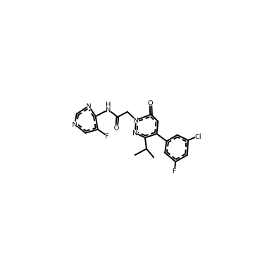 CC(C)c1nn(CC(=O)Nc2ncncc2F)c(=O)cc1-c1cc(F)cc(Cl)c1